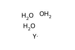 O.O.O.[Y]